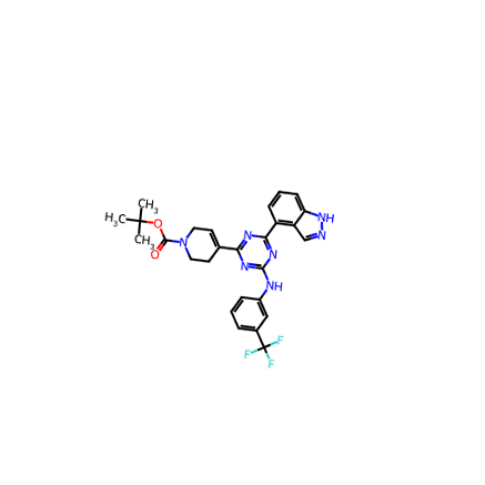 CC(C)(C)OC(=O)N1CC=C(c2nc(Nc3cccc(C(F)(F)F)c3)nc(-c3cccc4[nH]ncc34)n2)CC1